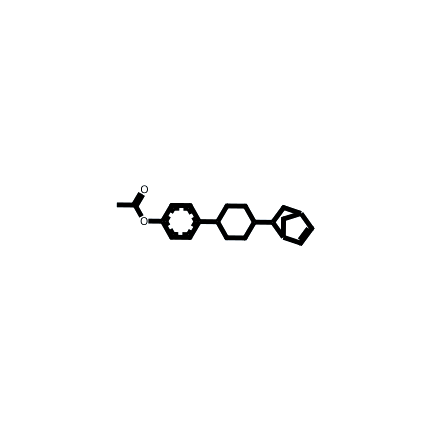 CC(=O)Oc1ccc(C2CCC(C3CC4C=CC3C4)CC2)cc1